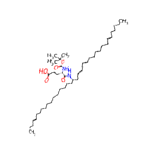 CCCCCCCCCCCCCCCCCCC(CCCCCCCCCCCCCCCCC)NC(=O)C(CCC(=O)O)NC(=O)OC(C)(C)C